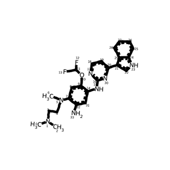 CN(C)CCN(C)c1cc(OC(F)F)c(Nc2nccc(-c3c[nH]c4ccccc34)n2)cc1N